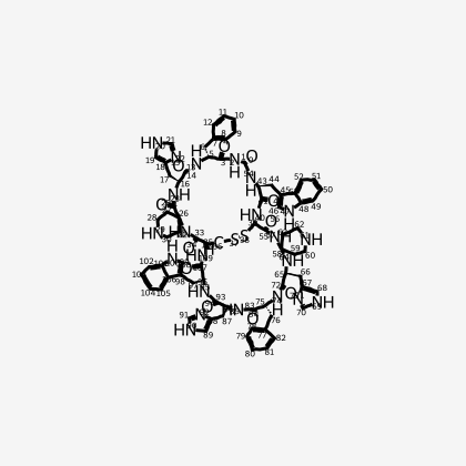 O=C1NC(=O)[C@@H](Cc2ccccc2)NC(=O)[C@H](Cc2c[nH]cn2)NC(=O)C2(CCNCC2)NC(=O)[C@@H]2CSSC(NC(=O)[C@H](Cc3c[nH]c4ccccc34)N1)C(=O)NC1(CCNCC1)N[C@@H](Cc1c[nH]cn1)C(=O)N[C@H](Cc1ccccc1)C(=O)N[C@@H](Cc1c[nH]cn1)C(=O)N[C@@H](Cc1c[nH]c3ccccc13)C(=O)N2